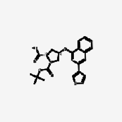 CC(C)(C)OC(=O)N1C[C@H](Oc2nc(-c3ccoc3)cc3ccccc23)C[C@H]1C(=O)O